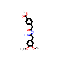 COC(=O)c1ccc(CC(=O)/N=C(\N)Cc2ccc(OC)c(OC)c2)cc1